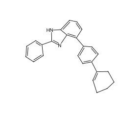 C1=C(c2ccc(-c3cccc4[nH]c(-c5ccccc5)nc34)cc2)CCCC1